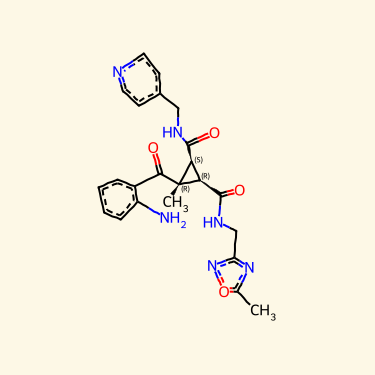 Cc1nc(CNC(=O)[C@@H]2[C@H](C(=O)NCc3ccncc3)[C@@]2(C)C(=O)c2ccccc2N)no1